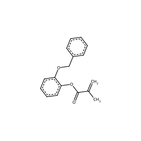 C=C(C)C(=O)Oc1ccccc1OCc1ccccc1